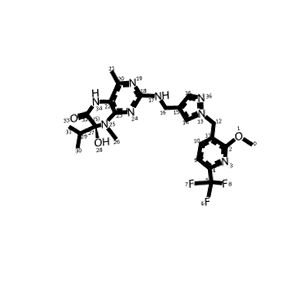 COc1nc(C(F)(F)F)ccc1Cn1cc(CNc2nc(C)c3c(n2)N(C)[C@](O)(C(C)C)C(=O)N3)cn1